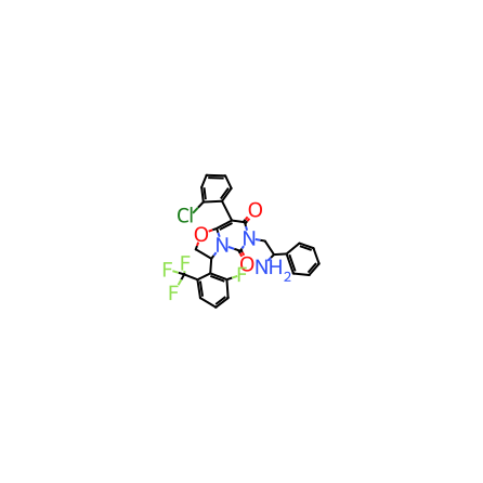 NC(Cn1c(=O)c(-c2ccccc2Cl)c2n(c1=O)C(c1c(F)cccc1C(F)(F)F)CO2)c1ccccc1